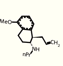 C=CC[C@@H]1c2cccc(OC)c2CC[C@H]1NCCC